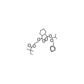 CCC(C)(C)C(=O)OCCOC(=O)C1CCCCC1C(=O)OC(OCc1ccccc1)C(C)C